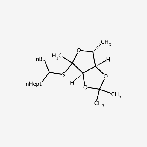 CCCCCCCC(CCCC)SC1(C)O[C@H](C)[C@H]2OC(C)(C)O[C@H]21